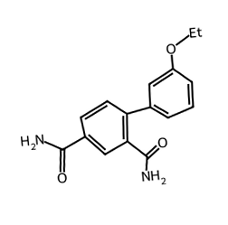 CCOc1cccc(-c2ccc(C(N)=O)cc2C(N)=O)c1